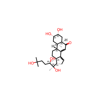 CC(C)(O)CC[C@@H](O)[C@](C)(O)[C@H]1CC=C2C3=CC(=O)[C@@H]4C[C@@H](O)[C@@H](O)C[C@]4(C)[C@H]3CC[C@@]21C